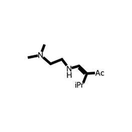 CC(=O)/C(=C/NCCN(C)C)C(C)C